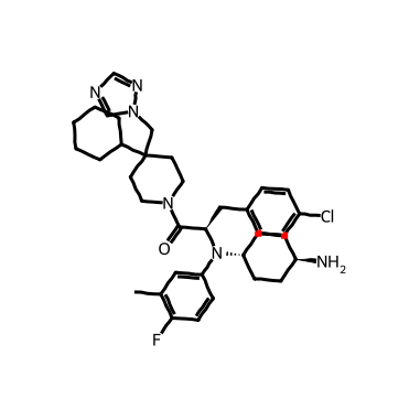 Cc1cc(N([C@H]2CC[C@H](N)CC2)[C@H](Cc2ccc(Cl)cc2)C(=O)N2CCC(Cn3cncn3)(C3CCCCC3)CC2)ccc1F